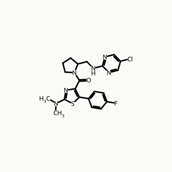 CN(C)c1nc(C(=O)N2CCCC2CNc2ncc(Cl)cn2)c(-c2ccc(F)cc2)s1